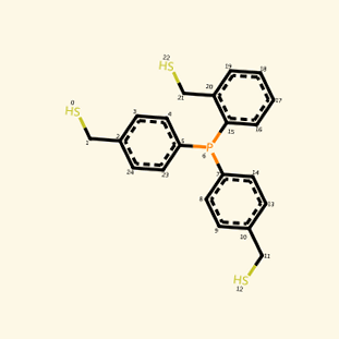 SCc1ccc(P(c2ccc(CS)cc2)c2ccccc2CS)cc1